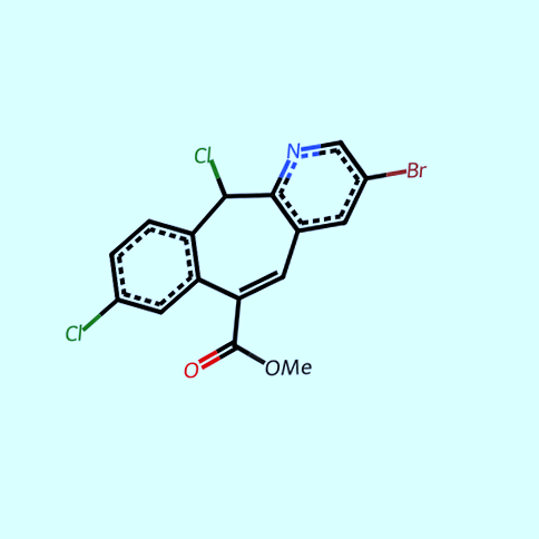 COC(=O)C1=Cc2cc(Br)cnc2C(Cl)c2ccc(Cl)cc21